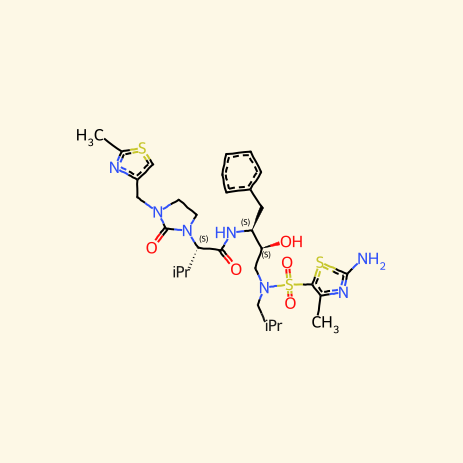 Cc1nc(CN2CCN([C@H](C(=O)N[C@@H](Cc3ccccc3)[C@@H](O)CN(CC(C)C)S(=O)(=O)c3sc(N)nc3C)C(C)C)C2=O)cs1